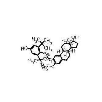 COc1cc2c(cc1C[Se]c1c(C(C)(C)C)cc(O)cc1C(C)(C)C)[C@H]1CC[C@]3(C)[C@H](O)CC[C@H]3[C@@H]1CC2